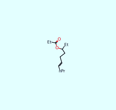 CCC/C=C/CCC(CC)OC(=O)CC